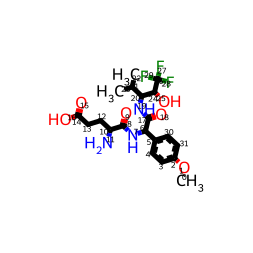 COc1ccc(C(NC(=O)C(N)CCC(=O)O)C(=O)NC(C(C)C)C(O)C(F)(F)F)cc1